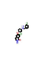 O=c1[nH]ccc2cc(O[C@H]3CC[C@@H](NCc4cccc(Cl)c4)CC3)c(Cl)cc12